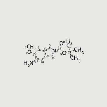 COc1cc2cn(C(=O)OC(C)(C)C)cc2cc1N